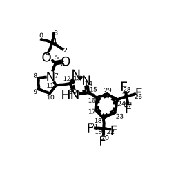 CC(C)(C)OC(=O)N1CCCC1c1nnc(-c2cc(C(F)(F)F)cc(C(F)(F)F)c2)[nH]1